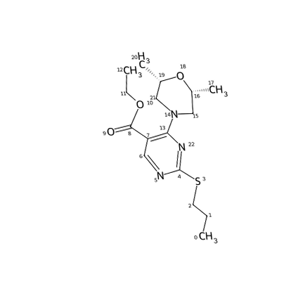 CCCSc1ncc(C(=O)OCC)c(N2C[C@@H](C)O[C@@H](C)C2)n1